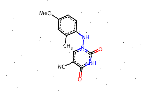 COc1ccc(Nn2cc(C#N)c(=O)[nH]c2=O)c(C)c1